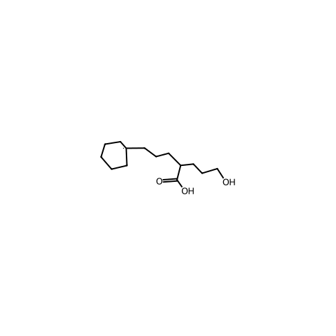 O=C(O)C(CCCO)CCC[C]1CCCCC1